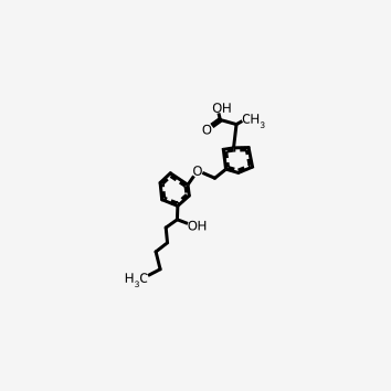 CCCCCC(O)c1cccc(OCc2cccc(C(C)C(=O)O)c2)c1